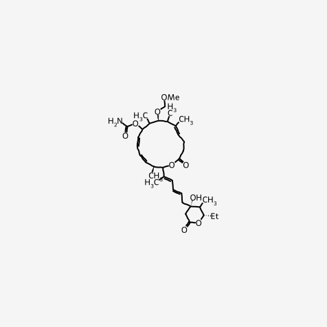 CC[C@@H]1OC(=O)C[C@@](O)(C/C=C/C=C(\C)C2OC(=O)CC/C=C(\C)C(C)[C@H](OCOC)C(C)C(OC(N)=O)/C=C\C=C/[C@@H]2C)C1C